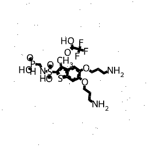 Cc1c(S(=O)(=O)NC[PH](=O)O)sc2cc(OCCCN)c(OCCCN)cc12.O=C(O)C(F)(F)F